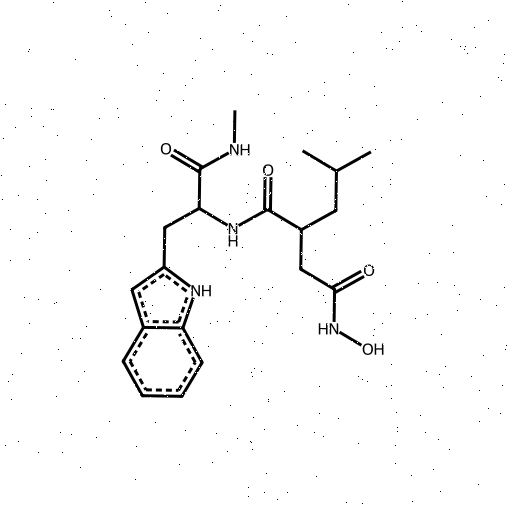 CNC(=O)C(Cc1cc2ccccc2[nH]1)NC(=O)C(CC(=O)NO)CC(C)C